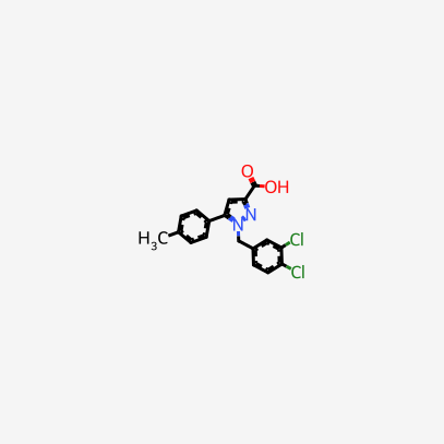 Cc1ccc(-c2cc(C(=O)O)nn2Cc2ccc(Cl)c(Cl)c2)cc1